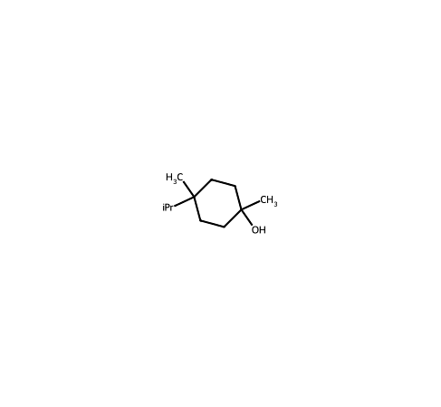 CC(C)C1(C)CCC(C)(O)CC1